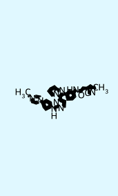 CCN1CCN(c2ccc(Nc3nccc(-c4c(-c5cccc(NC(=O)Cc6cc(C)no6)c5)nc5ccccn45)n3)cc2)CC1